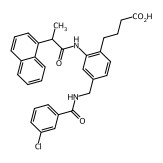 CC(C(=O)Nc1cc(CNC(=O)c2cccc(Cl)c2)ccc1CCCC(=O)O)c1cccc2ccccc12